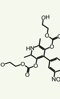 CC1=C(OC(=O)OCCO)C(c2cccc([N+](=O)[O-])c2)=C(OC(=O)OCCO)C(C)N1